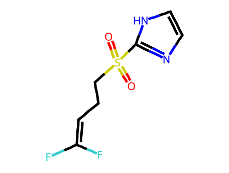 O=S(=O)(CCC=C(F)F)c1ncc[nH]1